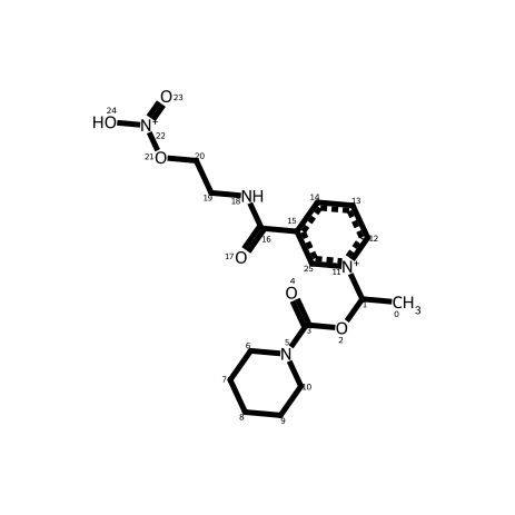 CC(OC(=O)N1CCCCC1)[n+]1cccc(C(=O)NCCO[N+](=O)O)c1